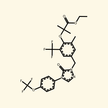 CCOC(=O)C(C)(C)Oc1c(C)cc(Cn2ncn(-c3ccc(OC(F)(F)F)cc3)c2=O)cc1C(F)(F)F